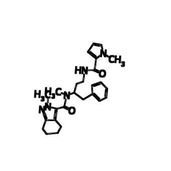 CN(C(=O)c1c2c(nn1C)CCCC2)C(CCNC(=O)c1cccn1C)Cc1ccccc1